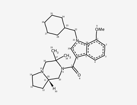 COc1cccc2c(C(=O)N3C[C@@H]4CCCN4CC3(C)C)cn(CC3CCCCC3)c12